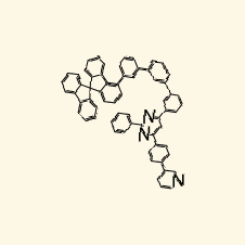 c1ccc(-c2nc(-c3ccc(-c4cccnc4)cc3)cc(-c3cccc(-c4cccc(-c5cccc(-c6cccc7c6-c6ccccc6C76c7ccccc7-c7ccccc76)c5)c4)c3)n2)cc1